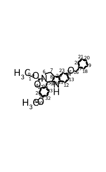 CCOC(=O)N1CCc2c([nH]c3ccc(OCc4ccccc4)cc23)C1c1ccc(OC)cc1